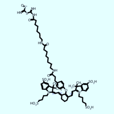 CC1(C)C(/C=C/C2=C(Oc3ccc(CCC(=O)NCCCCCCCC(=O)NCCCCCCCC(=O)NC(=N)SC(=N)[S+]=O)cc3)C(=C/C=C3/N(CCCCS(=O)(=O)O)c4ccc(S(=O)(=O)O)cc4C3(C)C)/CCC2)=[N+](CCCCS(=O)(=O)O)c2ccc(S(=O)(=O)O)cc21